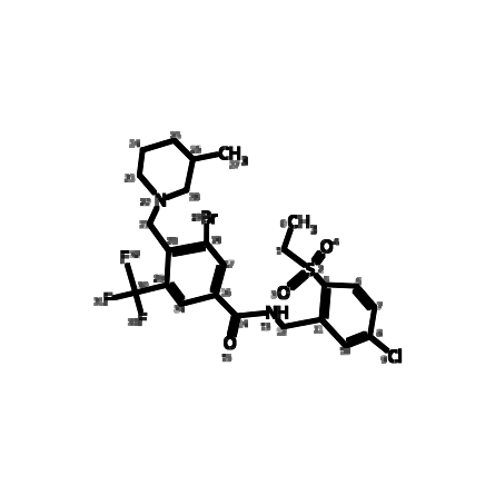 CCS(=O)(=O)c1ccc(Cl)cc1CNC(=O)c1cc(Br)c(CN2CCCC(C)C2)c(C(F)(F)F)c1